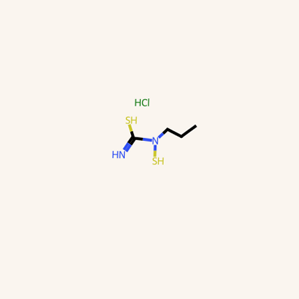 CCCN(S)C(=N)S.Cl